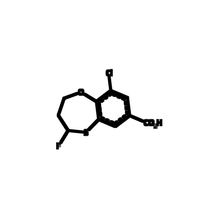 O=C(O)c1cc(Cl)c2c(c1)SC(F)CCO2